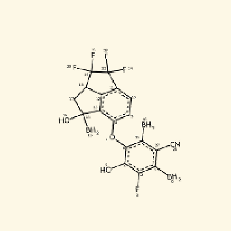 Bc1c(F)c(O)c(Oc2ccc3c4c2C(B)(O)CC4C(F)(F)C3(F)F)c(B)c1C#N